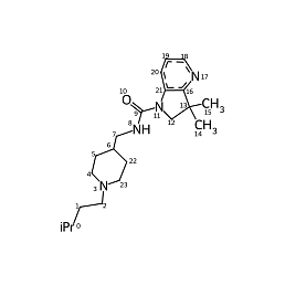 CC(C)CCN1CCC(CNC(=O)N2CC(C)(C)c3ncccc32)CC1